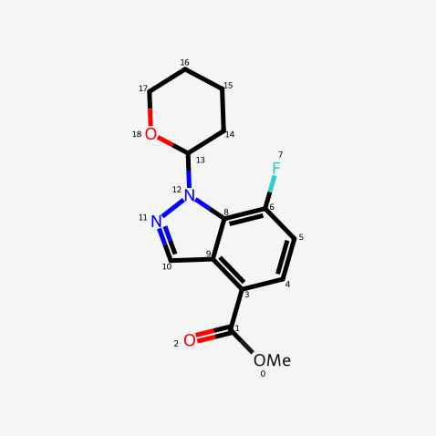 COC(=O)c1ccc(F)c2c1cnn2C1CCCCO1